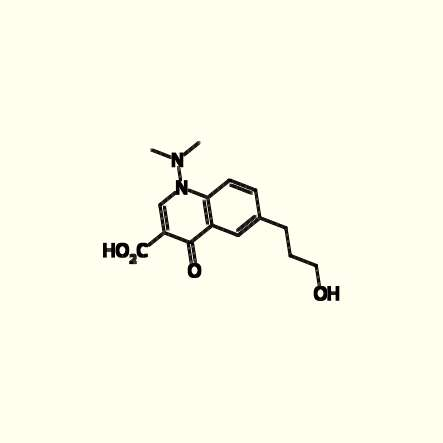 CN(C)n1cc(C(=O)O)c(=O)c2cc(CCCO)ccc21